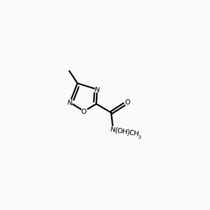 Cc1noc(C(=O)N(C)O)n1